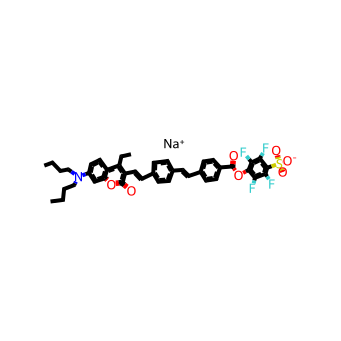 CCCCN(CCCC)c1ccc2c(CC)c(/C=C/c3ccc(/C=C/c4ccc(C(=O)Oc5c(F)c(F)c(S(=O)(=O)[O-])c(F)c5F)cc4)cc3)c(=O)oc2c1.[Na+]